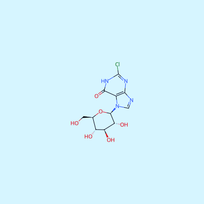 O=c1[nH]c(Cl)nc2ncn([C@@H]3O[C@H](CO)[C@@H](O)[C@H](O)[C@H]3O)c12